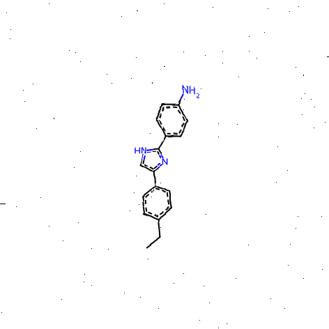 CCc1ccc(-c2c[nH]c(-c3ccc(N)cc3)n2)cc1